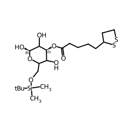 CC(C)(C)[Si](C)(C)OCC1O[C@@H](O)C(O)[C@@H](OC(=O)CCCCC2CCSS2)C1O